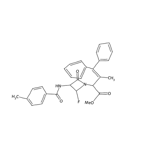 COC(=O)C(C(C)=C(c1ccccc1)c1ccccc1)N1C(=O)C(NC(=O)c2ccc(C)cc2)C1F